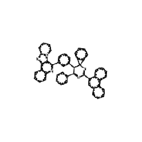 c1ccc(C2=NC(c3cc4ccccc4c4ccccc34)=NC3(c4ccccc43)C2c2cccc(-c3nc4ccccc4c4nc5ccccn5c34)c2)cc1